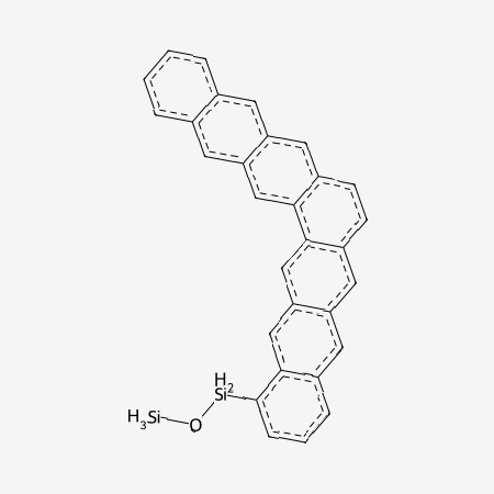 [SiH3]O[SiH2]c1cccc2cc3cc4ccc5cc6cc7ccccc7cc6cc5c4cc3cc12